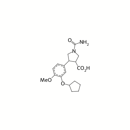 COc1ccc(C2CN(C(N)=O)CC2C(=O)O)cc1OC1CCCC1